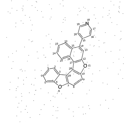 c1ccc2c(c1)oc1ccc3oc4cc(-c5ccncc5)c5ccccc5c4c3c12